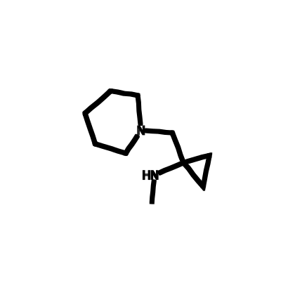 CNC1(CN2CCCCC2)CC1